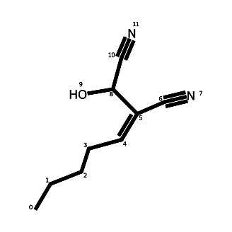 CCCCC=C(C#N)C(O)C#N